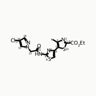 CCOC(=O)c1nc(C)c(-c2csc(NC(=O)Cn3cc(Cl)cn3)n2)s1